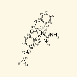 C=C1N(C)C(N)=NC12c1cc(OCC3CC3)ccc1OC21CCc2ccccc2CC1